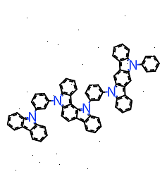 c1ccc(-n2c3ccccc3c3cc4c(cc32)c2ccccc2n4-c2cccc(-n3c4ccccc4c4ccc5c(c6ccccc6n5-c5cccc(-n6c7ccccc7c7ccccc76)c5)c43)c2)cc1